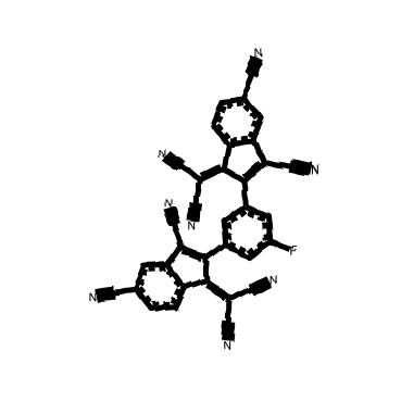 N#CC(C#N)=C1C(c2cc(F)cc(C3=C(C#N)c4cc(C#N)ccc4C3=C(C#N)C#N)c2)=C(C#N)c2cc(C#N)ccc21